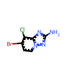 Nc1nc2c(Cl)c(Br)ccn2n1